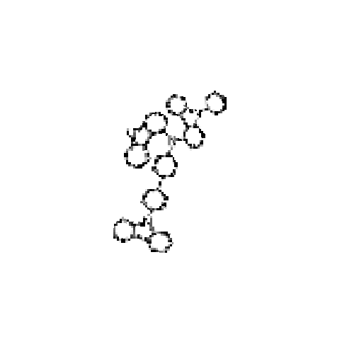 c1ccc(-n2c3ccccc3c3c(N(c4ccc(-c5ccc(-n6c7ccccc7c7ccccc76)cc5)cc4)c4cccc5oc6ccccc6c45)cccc32)cc1